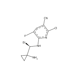 CC[C@@H](Nc1nc(Cl)c(C#N)cc1F)C1(N)CC1